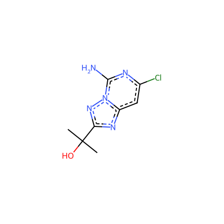 CC(C)(O)c1nc2cc(Cl)nc(N)n2n1